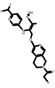 C/C(N=N)=C(\COc1cc2c(cn1)CN(C(=O)CF)CC2)Nc1ccc(C(F)F)nc1